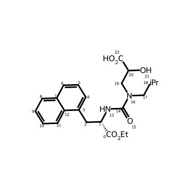 CCOC(=O)[C@H](Cc1cccc2ccccc12)NC(=O)N(CC(C)C)CC(O)C(=O)O